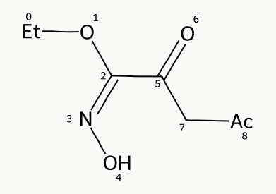 CCOC(=NO)C(=O)CC(C)=O